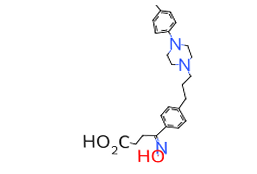 Cc1ccc(N2CCN(CCCc3ccc(C(CCC(=O)O)=NO)cc3)CC2)cc1